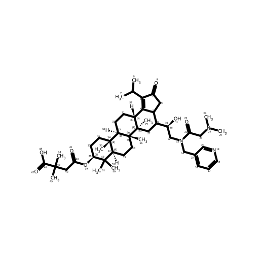 CC(C)C1=C2C(CC1=O)C([C@@H](O)CN(Cc1cccnc1)C(=O)CN(C)C)C[C@]1(C)[C@@H]2CC[C@@H]2[C@@]3(C)CC[C@H](OC(=O)CC(C)(C)C(=O)O)C(C)(C)[C@@H]3CC[C@]21C